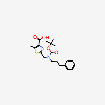 Cc1sc(CN(CCCc2ccccc2)C(=O)OC(C)(C)C)nc1C(=O)O